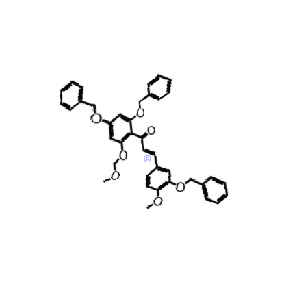 COCOc1cc(OCc2ccccc2)cc(OCc2ccccc2)c1C(=O)/C=C/c1ccc(OC)c(OCc2ccccc2)c1